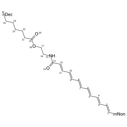 CCCCCCCCCC=CC=CC=CC=CC=CC=CC(=O)NCCOC(=O)CCCCCCCCCCCCCCC